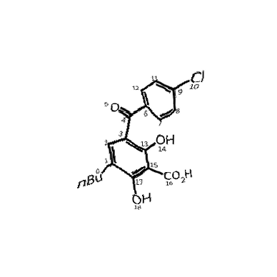 CCCCc1cc(C(=O)c2ccc(Cl)cc2)c(O)c(C(=O)O)c1O